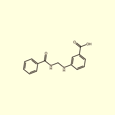 O=C(O)c1cccc(NCNC(=O)c2ccccc2)c1